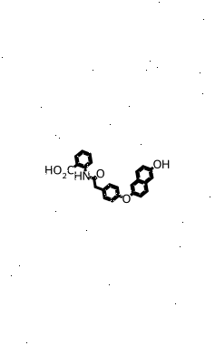 O=C(Cc1ccc(Oc2ccc3cc(O)ccc3c2)cc1)Nc1ccccc1C(=O)O